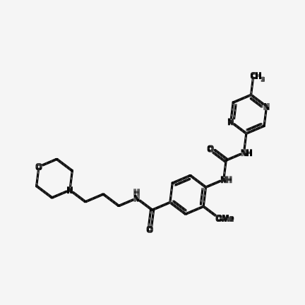 COc1cc(C(=O)NCCCN2CCOCC2)ccc1NC(=O)Nc1cnc(C)cn1